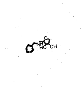 O[C@H]1[C@@H](O)[CH]O[C@@H]1CNCc1ccccc1